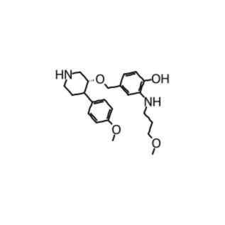 COCCCNc1cc(CO[C@H]2CNCCC2c2ccc(OC)cc2)ccc1O